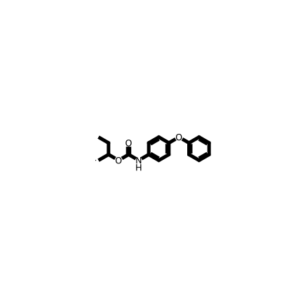 [CH2]C(CC)OC(=O)Nc1ccc(Oc2ccccc2)cc1